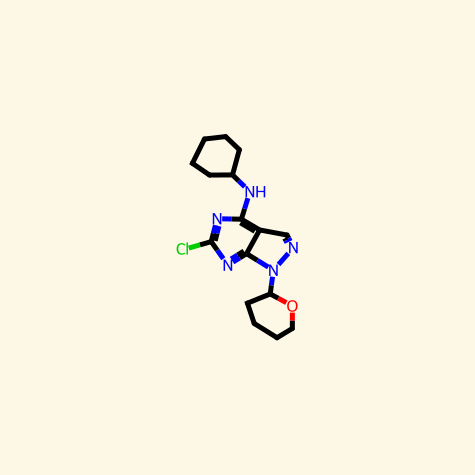 Clc1nc(NC2CCCCC2)c2cnn(C3CCCCO3)c2n1